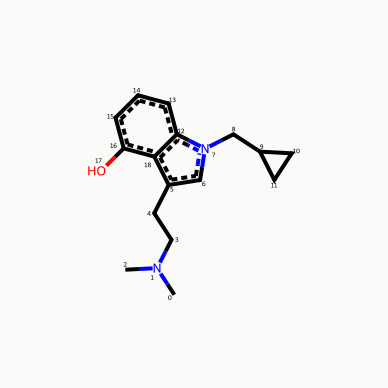 CN(C)CCc1cn(CC2CC2)c2cccc(O)c12